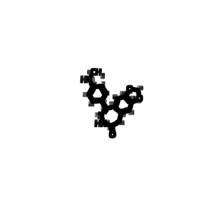 CNc1ccc(C2=NNC(=O)Cc3cc4c(cc32)OCO4)cc1